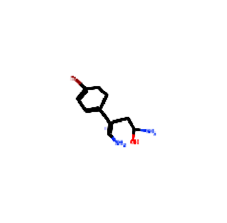 N/C=C(\CC(N)O)C1=CC=C(Br)CC1